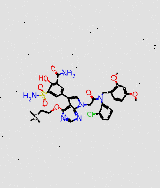 COc1ccc(CN(C(=O)Cn2cc(-c3cc(C(N)=O)c(O)c(S(N)(=O)=O)c3)c3c(OCC[Si](C)(C)C)ncnc32)c2ccccc2Cl)c(OC)c1